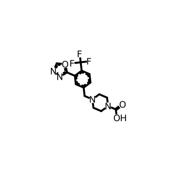 O=C(O)N1CCN(Cc2ccc(C(F)(F)F)c(-c3nnco3)c2)CC1